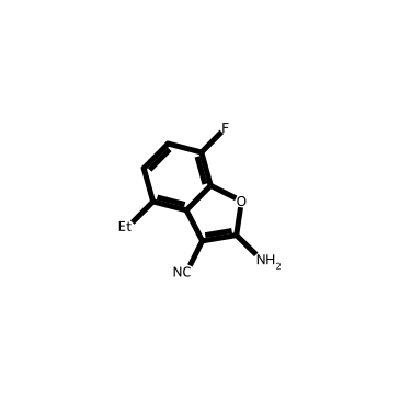 CCc1ccc(F)c2oc(N)c(C#N)c12